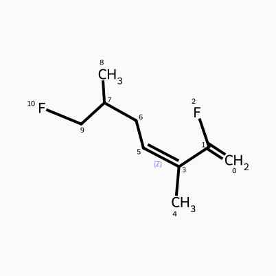 C=C(F)/C(C)=C\CC(C)CF